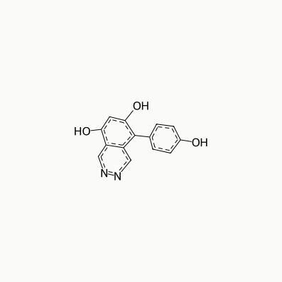 Oc1ccc(-c2c(O)cc(O)c3cnncc23)cc1